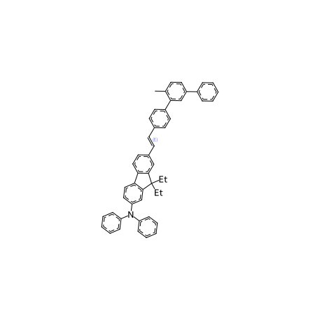 CCC1(CC)c2cc(/C=C/c3ccc(-c4cc(-c5ccccc5)ccc4C)cc3)ccc2-c2ccc(N(c3ccccc3)c3ccccc3)cc21